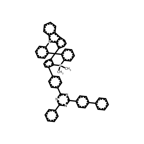 CS1(C)c2ccccc2C2(c3ccccc3-n3c4ccccc4c4cccc2c43)c2cccc(-c3ccc(-c4nc(-c5ccccc5)nc(-c5ccc(-c6ccccc6)cc5)n4)cc3)c21